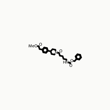 COC(=O)Cc1ccc(C2CCN(C(=O)CCCCNC(=O)OCc3ccccc3)CC2)cc1